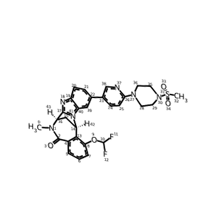 CN1C(=O)c2cccc(OC(F)F)c2[C@H]2C[C@@H]1c1nc3ccc(-c4ccc(N5CCN(S(C)(=O)=O)CC5)nc4)cc3n12